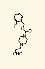 O=[C]CCN1CCN(C(=O)OCc2ccccc2F)CC1